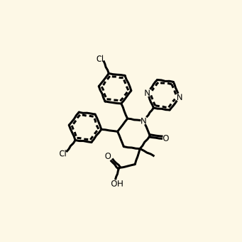 CC1(CC(=O)O)CC(c2cccc(Cl)c2)C(c2ccc(Cl)cc2)N(c2cnccn2)C1=O